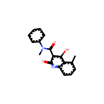 Cc1cccc2[nH]c(=O)c(C(=O)N(C)c3ccccc3)c(O)c12